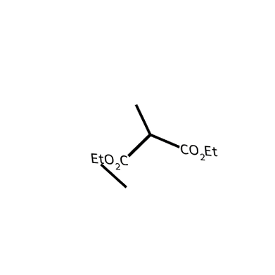 CC.CCOC(=O)C(C)C(=O)OCC